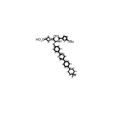 CC(C)(C)c1ccc(C(=O)N[C@@H](Cc2ccc(-c3ncc(-c4ccc(C5CCC(F)(F)CC5)cc4)cn3)cc2)C(=O)N2CC(C(=O)O)C2)s1